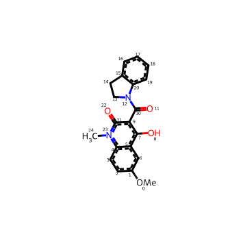 COc1ccc2c(c1)c(O)c(C(=O)N1CCc3ccccc31)c(=O)n2C